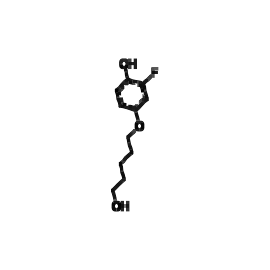 OCCCCCOc1ccc(O)c(F)c1